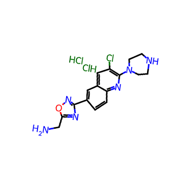 Cl.Cl.NCc1nc(-c2ccc3nc(N4CCNCC4)c(Cl)cc3c2)no1